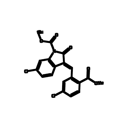 COC(=O)c1ccc(Cl)cc1C=C1C(=O)N(C(=O)OC(C)(C)C)c2cc(Cl)ccc21